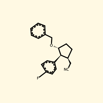 N#CC[C@@H]1CC[C@@H](OCc2ccccc2)[C@@H]1c1ccc(F)cc1